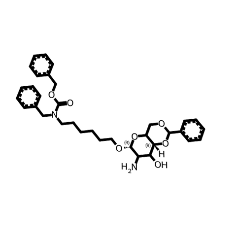 NC1C(O)[C@H]2OC(c3ccccc3)OCC2O[C@H]1OCCCCCCN(Cc1ccccc1)C(=O)OCc1ccccc1